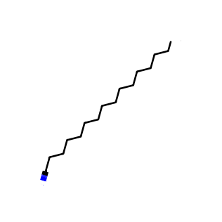 CCCCCCCCCCCCCC[CH]C#N